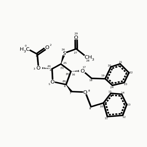 CC(=O)O[C@H]1O[C@H](COCc2ccccc2)[C@@H](OCc2ccccc2)[C@@H]1SC(C)=O